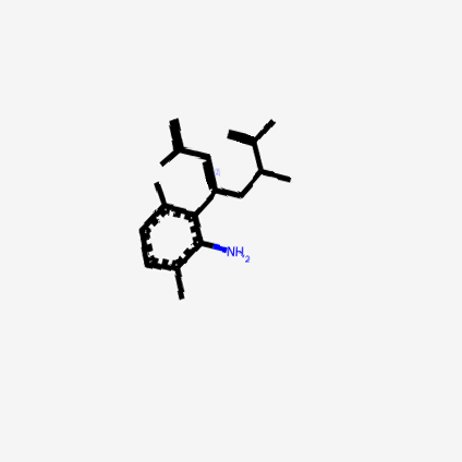 C=C(C)/C=C(/CC(C)C(=C)C)c1c(C)ccc(C)c1N